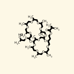 C=C(C)C(=O)OCCCCOCC(C)OCC(C)OCC(C)OCC(C)OCC(C)OCC(C)OCC(C)OCC(C)OCC(C)OCC(C)OCC(C)OCC(C)OO